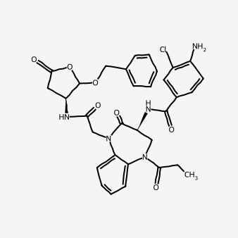 CCC(=O)N1C[C@H](NC(=O)c2ccc(N)c(Cl)c2)C(=O)N(CC(=O)N[C@H]2CC(=O)OC2OCc2ccccc2)c2ccccc21